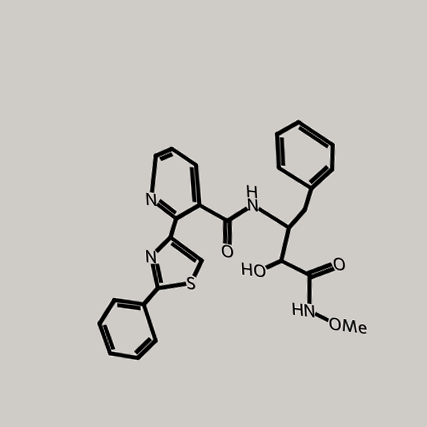 CONC(=O)C(O)C(Cc1ccccc1)NC(=O)c1cccnc1-c1csc(-c2ccccc2)n1